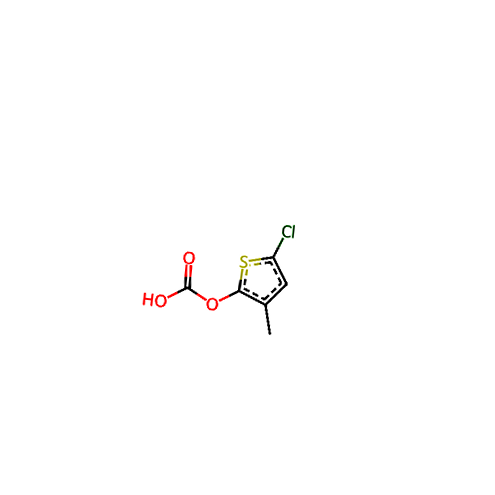 Cc1cc(Cl)sc1OC(=O)O